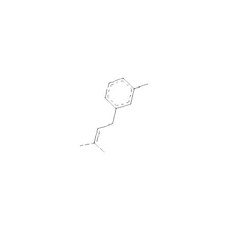 CC(C)=CCc1cccc(C)c1